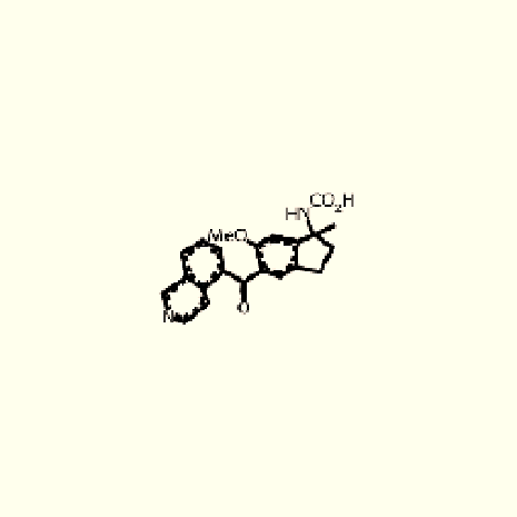 COc1cc2c(cc1C(=O)c1cccc3cnccc13)CCC2(C)NC(=O)O